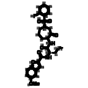 COc1ccc2oc(C(=O)N[C@@H](CC(C)C)C(=O)NC3CCCN(S(=O)(=O)c4ccccc4F)CC3=O)cc2c1